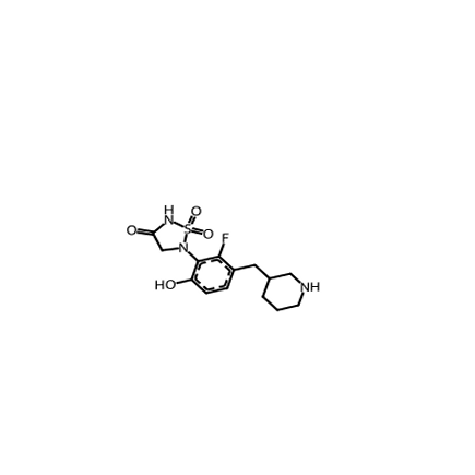 O=C1CN(c2c(O)ccc(CC3CCCNC3)c2F)S(=O)(=O)N1